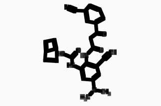 C#Cc1cc(N(C)C)cc(NC(=O)O)c1NC(=O)CC(=O)c1cccc(C#N)c1.c1cc2ccc1-2